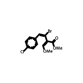 CO/C=C(C(=O)OC)/C(Br)=C\c1ccc(Cl)cc1